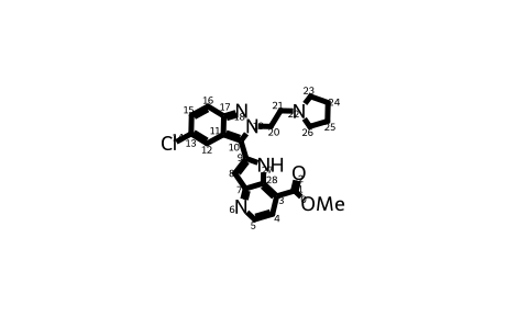 COC(=O)c1ccnc2cc(-c3c4cc(Cl)ccc4nn3CCN3CCCC3)[nH]c12